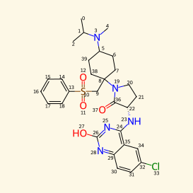 CC(C)N(C)C1CCC(CS(=O)(=O)c2ccccc2)(N2CC[C@H](Nc3nc(O)nc4ccc(Cl)cc34)C2=O)CC1